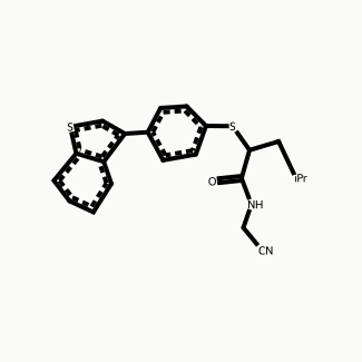 CC(C)CC(Sc1ccc(-c2csc3ccccc23)cc1)C(=O)NCC#N